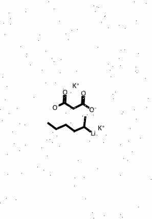 O=C([O-])CC(=O)[O-].[K+].[K+].[Li][CH](C)CCCC